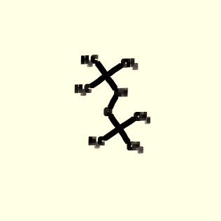 CC(C)(C)NOC(C)(C)C